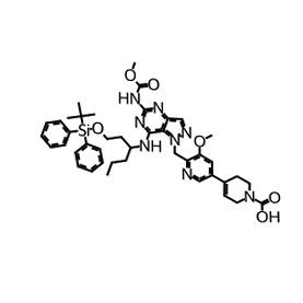 CCCC(CCO[Si](c1ccccc1)(c1ccccc1)C(C)(C)C)Nc1nc(NC(=O)OC)nc2cnn(Cc3ncc(C4=CCN(C(=O)O)CC4)cc3OC)c12